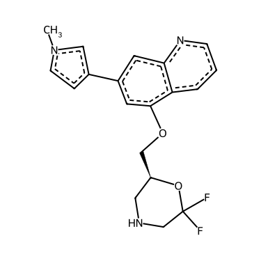 Cn1ccc(-c2cc(OC[C@@H]3CNCC(F)(F)O3)c3cccnc3c2)c1